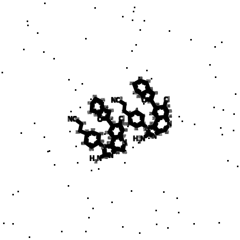 N#CCCc1ccc(-n2c(N)nc3cnc4cc(Cl)c(-c5cc6ccccc6o5)cc4c32)cc1.N#CCCc1ccc(-n2c(N)nc3cnc4cc(Cl)c(-c5cc6ccccc6o5)cc4c32)cc1